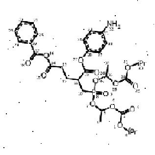 CC(C)OC(=O)OC(C)OP(=O)(CC(CCC(=O)OC(=O)c1ccccc1)C(=O)Oc1ccc(N)cc1)OC(C)OC(=O)OC(C)C